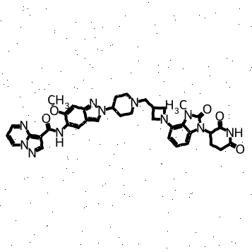 COc1cc2nn(C3CCN(CC4CN(c5cccc6c5n(C)c(=O)n6C5CCC(=O)NC5=O)C4)CC3)cc2cc1NC(=O)c1cnn2cccnc12